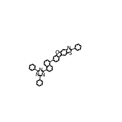 c1ccc(-c2nc(-c3ccccc3)nc(-c3cccc4c(-c5ccc6c(c5)oc5cc7nc(-c8ccccc8)sc7cc56)cccc34)n2)cc1